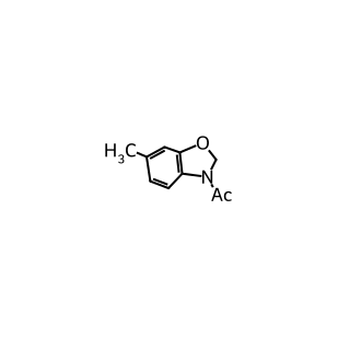 CC(=O)N1COc2cc(C)ccc21